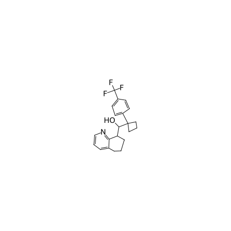 OC(C1CCCc2cccnc21)C1(c2ccc(C(F)(F)F)cc2)CCC1